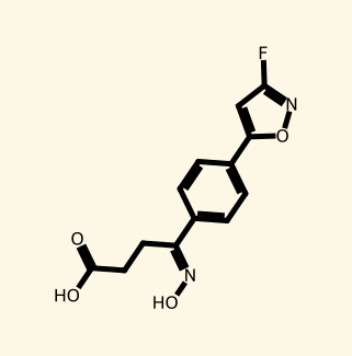 O=C(O)CCC(=NO)c1ccc(-c2cc(F)no2)cc1